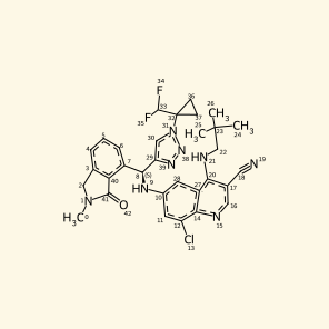 CN1Cc2cccc([C@H](Nc3cc(Cl)c4ncc(C#N)c(NCC(C)(C)C)c4c3)c3cn(C4(C(F)F)CC4)nn3)c2C1=O